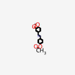 CC(=O)Oc1ccc(/C=C/c2ccc3c(c2)OCO3)cc1